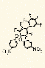 O=[N+]([O-])c1ccc(OC2(Oc3ccc([N+](=O)[O-])cc3)C(F)=C(F)C(c3cc(F)c(F)c(F)c3F)=C(F)C2F)cc1